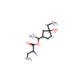 CCC(I)C(=O)OC(C)C1CCC(O)(CC)C1